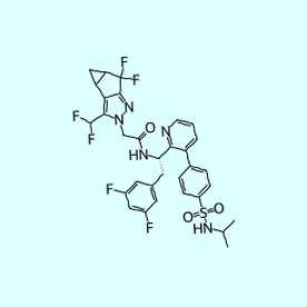 CC(C)NS(=O)(=O)c1ccc(-c2cccnc2[C@H](Cc2cc(F)cc(F)c2)NC(=O)Cn2nc3c(c2C(F)F)C2CC2C3(F)F)cc1